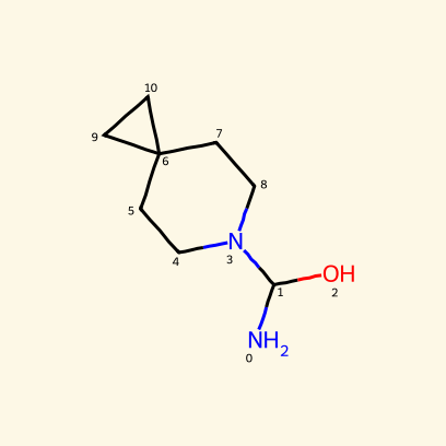 NC(O)N1CCC2(CC1)CC2